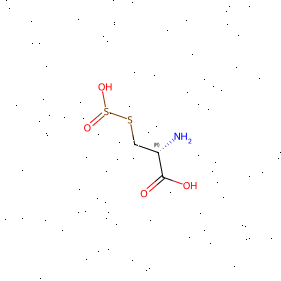 N[C@@H](CSS(=O)O)C(=O)O